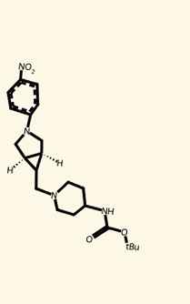 CC(C)(C)OC(=O)NC1CCN(CC2[C@H]3CN(c4ccc([N+](=O)[O-])cc4)C[C@@H]23)CC1